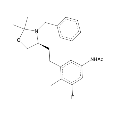 CC(=O)Nc1cc(F)c(C)c(CC[C@H]2COC(C)(C)N2Cc2ccccc2)c1